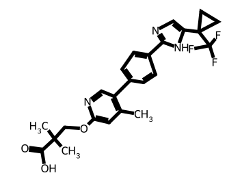 Cc1cc(OCC(C)(C)C(=O)O)ncc1-c1ccc(-c2ncc(C3(C(F)(F)F)CC3)[nH]2)cc1